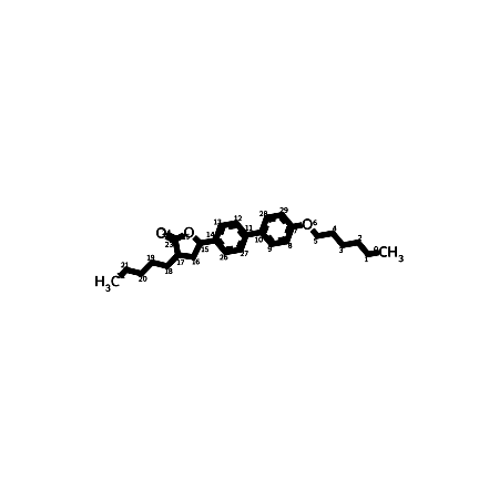 CCCCCCOc1ccc(-c2ccc(C3CC(CCCCC)C(=O)O3)cc2)cc1